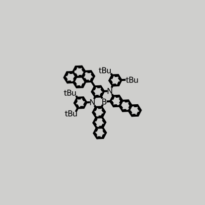 CC(C)(C)c1cc(N2c3cc4cc5ccccc5cc4cc3B3c4cc5cc6ccccc6cc5cc4N(c4cc(C(C)(C)C)cc(C(C)(C)C)c4)c4cc(-c5ccc6ccc7cccc8ccc5c6c78)cc2c43)cc(C(C)(C)C)c1